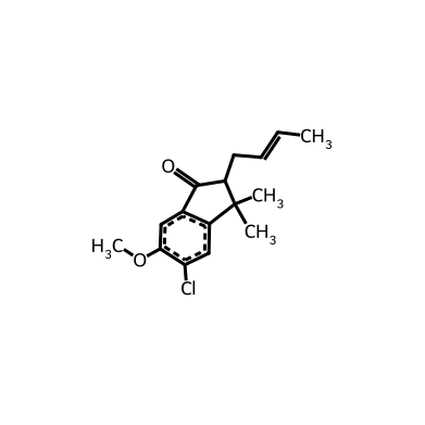 CC=CCC1C(=O)c2cc(OC)c(Cl)cc2C1(C)C